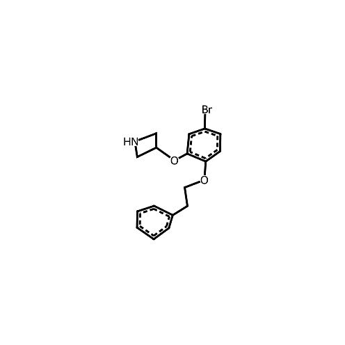 Brc1ccc(OCCc2ccccc2)c(OC2CNC2)c1